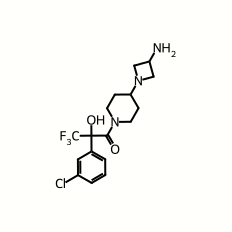 NC1CN(C2CCN(C(=O)C(O)(c3cccc(Cl)c3)C(F)(F)F)CC2)C1